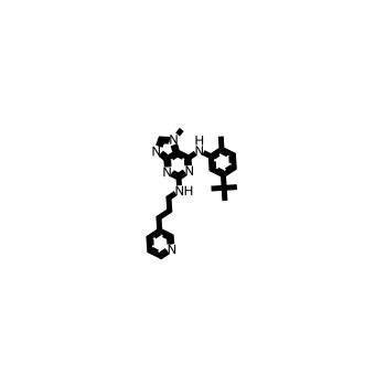 Cc1ccc(C(C)(C)C)cc1Nc1nc(NCCCc2cccnc2)nc2ncn(C)c12